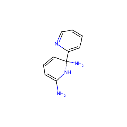 NC1=CC=CC(N)(c2ccccn2)N1